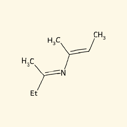 C/C=C(C)/N=C(\C)CC